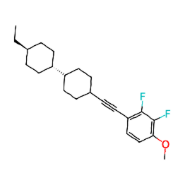 CC[C@H]1CC[C@H](C2CCC(C#Cc3ccc(OC)c(F)c3F)CC2)CC1